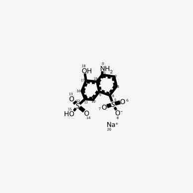 Nc1ccc(S(=O)(=O)[O-])c2cc(S(=O)(=O)O)cc(O)c12.[Na+]